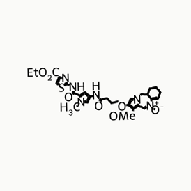 CCOC(=O)c1csc(NC(=O)c2cc(NC(=O)CCCOc3cn4c(c3OC)C=[N+]([O-])C3=CCCCC3C4)cn2C)n1